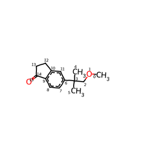 COCC(C)(C)c1ccc2c(c1)CCC2=O